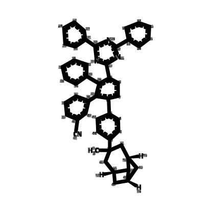 CC1(c2ccc(-c3ccc(-c4nc(-c5ccccc5)nc(-c5ccccc5)n4)c(-c4ccccc4)c3-c3cccc(C#N)c3)cc2)C[C@H]2C[C@H]3C[C@@H](C1)C32